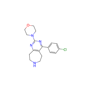 Clc1ccc(-c2nc(N3CCOCC3)nc3c2CCNCC3)cc1